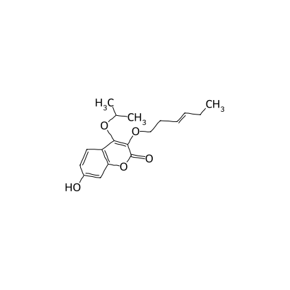 CC/C=C/CCOc1c(OC(C)C)c2ccc(O)cc2oc1=O